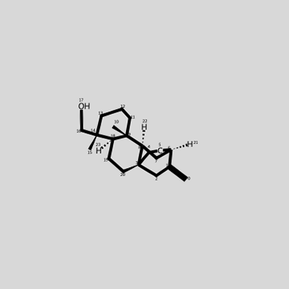 C=C1C[C@@]23CC[C@@H]1C[C@@H]2[C@@]1(C)CCC[C@@](C)(CO)[C@@H]1CC3